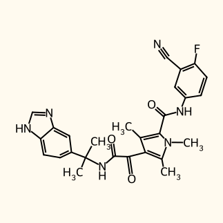 Cc1c(C(=O)C(=O)NC(C)(C)c2ccc3[nH]cnc3c2)c(C)n(C)c1C(=O)Nc1ccc(F)c(C#N)c1